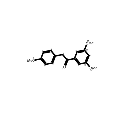 COc1ccc(CC(=O)c2cc(OC)cc(OC)c2)cc1